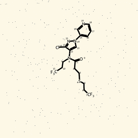 O=C(CCSCCC(F)(F)F)N(CCC(F)(F)F)c1cn(-c2cccnc2)nc1Cl